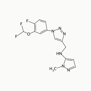 Cn1nccc1NCc1cn(-c2ccc(F)c(OC(F)F)c2)nn1